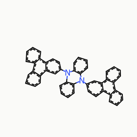 c1ccc2c(c1)N(c1ccc3c4ccccc4c4ccccc4c3c1)c1ccccc1N2c1ccc2c3ccccc3c3ccccc3c2c1